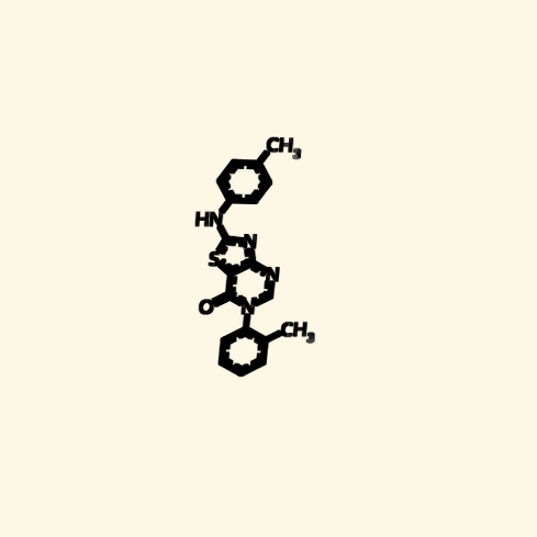 Cc1ccc(Nc2nc3ncn(-c4ccccc4C)c(=O)c3s2)cc1